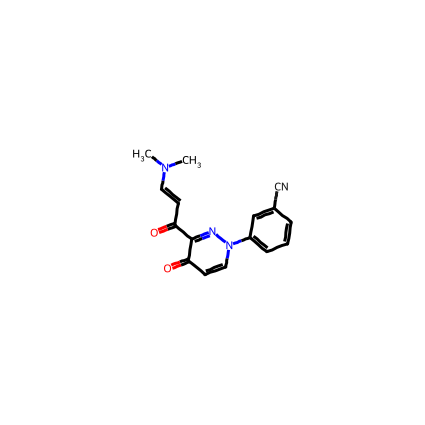 CN(C)C=CC(=O)c1nn(-c2cccc(C#N)c2)ccc1=O